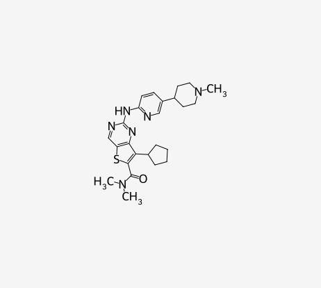 CN1CCC(c2ccc(Nc3ncc4sc(C(=O)N(C)C)c(C5CCCC5)c4n3)nc2)CC1